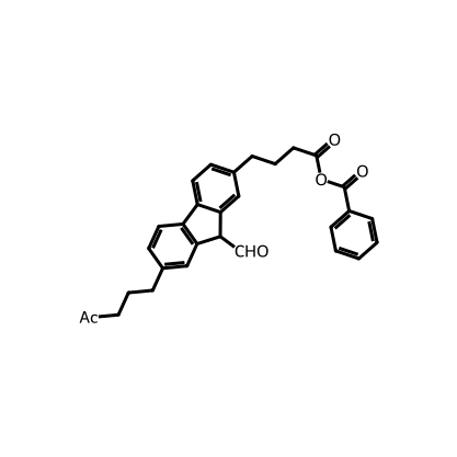 CC(=O)CCCc1ccc2c(c1)C(C=O)c1cc(CCCC(=O)OC(=O)c3ccccc3)ccc1-2